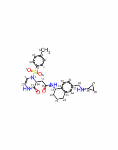 Cc1ccc(S(=O)(=O)N2C=CNC(=O)C2CC(=O)N[C@@H]2CCCc3cc(CNC4CC4)ccc32)cc1